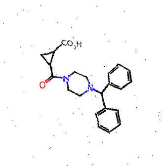 O=C(O)C1CC1C(=O)N1CCN(C(c2ccccc2)c2ccccc2)CC1